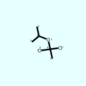 CC(C)OC(C)(Cl)Cl